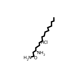 CCCCCCCCCCCCC[C@H](N)CC(N)=O.Cl